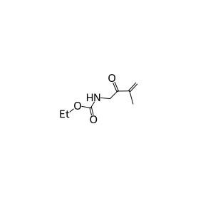 C=C(C)C(=O)CNC(=O)OCC